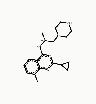 Cc1cccc2c(N[C@@H](C)CN3CCNCC3)nc(C3CC3)nc12